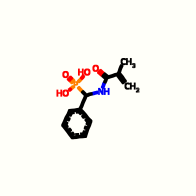 C=C(C)C(=O)NC(c1ccccc1)P(=O)(O)O